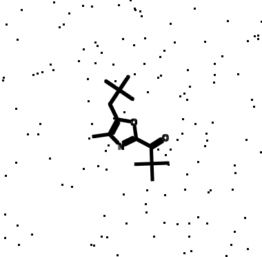 Cc1nc(C(=O)C(C)(C)C)oc1CC(C)(C)C